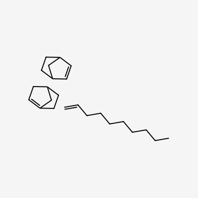 C1=C2CCC(C1)C2.C1=CC2CCC1C2.C=CCCCCCCCC